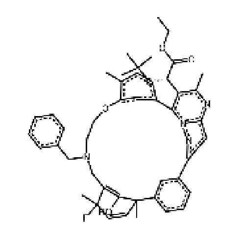 CCOC(=O)[C@@H](OC(C)(C)C)c1c(C)nc2cc3nn2c1-c1ccc(C)c(c1)OCCN(Cc1ccccc1)CC1=C(O)C(C)(C=CC1(C)F)c1cccc-3c1